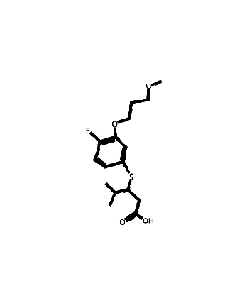 COCCCOc1cc(SC(CC(=O)O)C(C)C)ccc1F